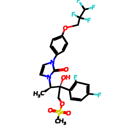 C[C@@H](n1ccn(-c2ccc(OCC(F)(F)C(F)F)cc2)c1=O)[C@](O)(COS(C)(=O)=O)c1ccc(F)cc1F